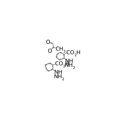 CC(=O)C=O.NNc1ccccc1C(=O)O.NNc1ccccc1C(=O)O